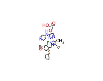 CCOc1cc(F)c(Cn2nc(-c3ncc(OCC4(CO)COC4)c(Nc4ccncc4)n3)c(C)c2C2CC2)c(Sc2ccccc2)c1